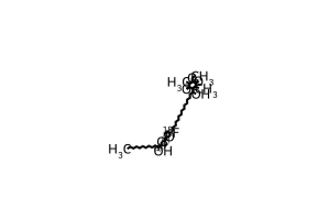 CCCCCCCCCC[C@H](O)[C@H]1CC[C@H]([C@H]2CC[C@H](C([18F])CCCCCCCCCCCCCC(O)C3=C(C)C(=O)C(OC)=C(C)C3=O)O2)O1